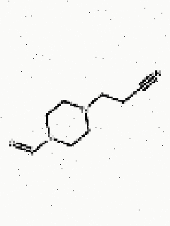 N#CCCN1CCN([C]=O)CC1